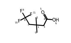 CC(C)(CC(=O)O)CC(F)(F)F